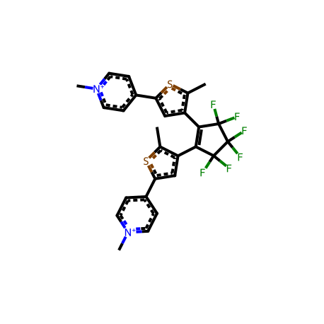 Cc1sc(-c2cc[n+](C)cc2)cc1C1=C(c2cc(-c3cc[n+](C)cc3)sc2C)C(F)(F)C(F)(F)C1(F)F